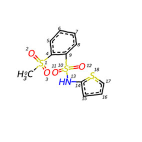 CS(=O)(=O)c1ccccc1S(=O)(=O)Nc1cccs1